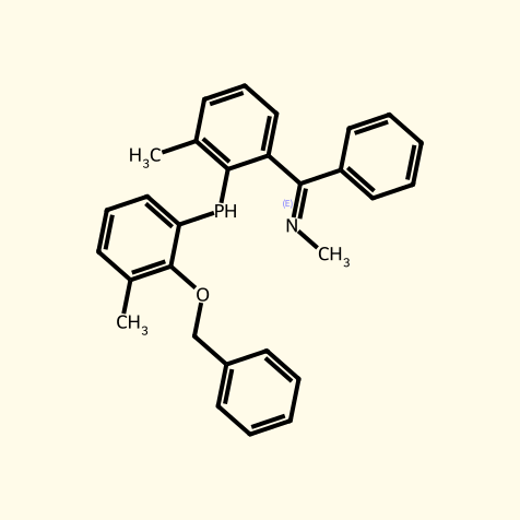 C/N=C(\c1ccccc1)c1cccc(C)c1Pc1cccc(C)c1OCc1ccccc1